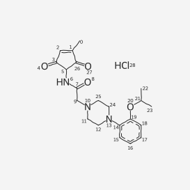 CC1=CC(=O)C(NC(=O)CN2CCN(c3ccccc3OC(C)C)CC2)C1=O.Cl